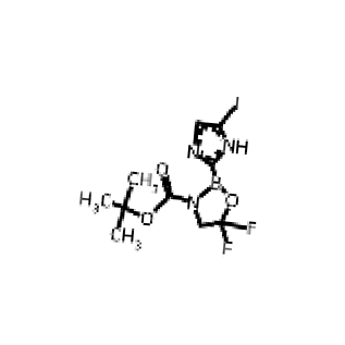 CC(C)(C)OC(=O)N1CC(F)(F)OB1c1ncc(I)[nH]1